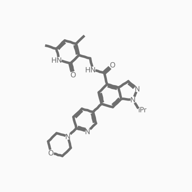 Cc1cc(C)c(CNC(=O)c2cc(-c3ccc(N4CCOCC4)nc3)cc3c2cnn3C(C)C)c(=O)[nH]1